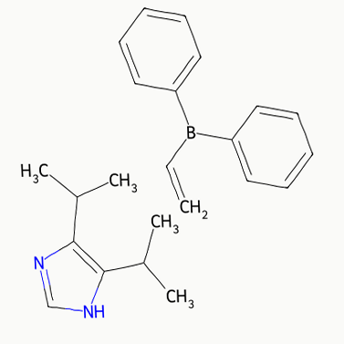 C=CB(c1ccccc1)c1ccccc1.CC(C)c1nc[nH]c1C(C)C